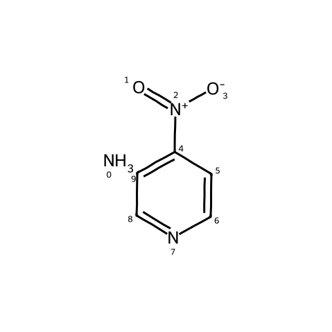 N.O=[N+]([O-])c1ccncc1